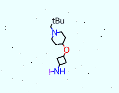 CC(C)(C)CN1CCC(OC2CC(NI)C2)CC1